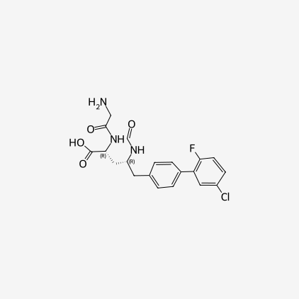 NCC(=O)N[C@H](C[C@@H](Cc1ccc(-c2cc(Cl)ccc2F)cc1)NC=O)C(=O)O